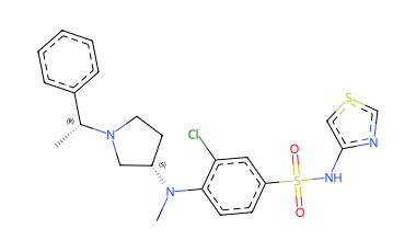 C[C@H](c1ccccc1)N1CC[C@H](N(C)c2ccc(S(=O)(=O)Nc3cscn3)cc2Cl)C1